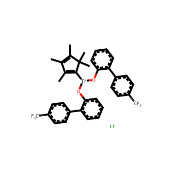 CC1=C(C)C(C)(C)[C]([Ti+]([O]c2ccccc2-c2ccc(C(F)(F)F)cc2)[O]c2ccccc2-c2ccc(C(F)(F)F)cc2)=C1C.[Cl-]